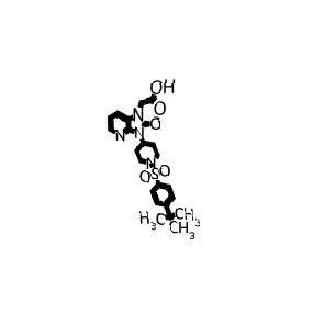 CC(C)(C)c1ccc(S(=O)(=O)N2CCC(n3c(=O)n(CC(=O)O)c4cccnc43)CC2)cc1